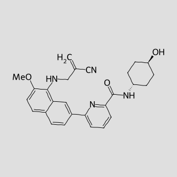 C=C(C#N)CNc1c(OC)ccc2ccc(-c3cccc(C(=O)N[C@H]4CC[C@H](O)CC4)n3)cc12